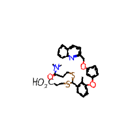 Cc1c(Oc2cccc(OCc3ccc4ccccc4n3)c2)cccc1C(SCCC(=O)O)SCCC(=O)N(C)C